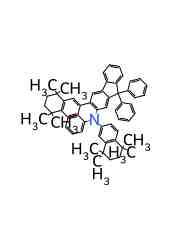 CC1(C)CCC(C)(C)c2cc(-c3cc4c(cc3N(c3ccccc3)c3ccc5c(c3)C(C)(C)CCC5(C)C)C(c3ccccc3)(c3ccccc3)c3ccccc3-4)ccc21